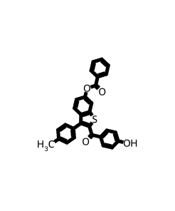 Cc1ccc(-c2c(C(=O)c3ccc(O)cc3)sc3cc(OC(=O)c4ccccc4)ccc23)cc1